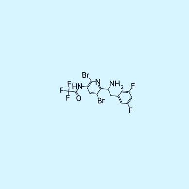 NC(Cc1cc(F)cc(F)c1)c1nc(Br)c(NC(=O)C(F)(F)F)cc1Br